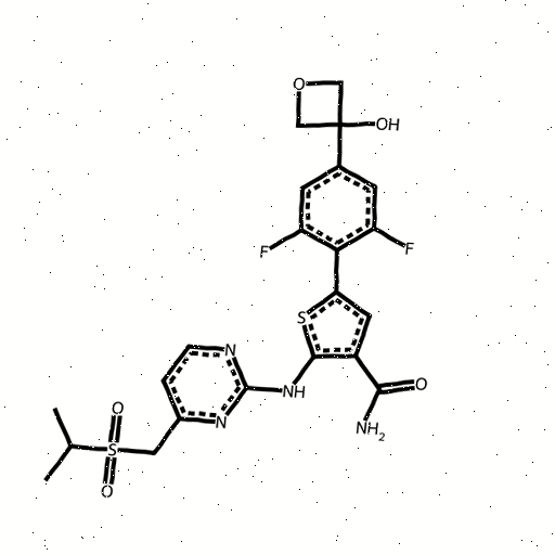 CC(C)S(=O)(=O)Cc1ccnc(Nc2sc(-c3c(F)cc(C4(O)COC4)cc3F)cc2C(N)=O)n1